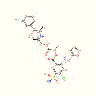 CC(OC(=O)c1cc(S(N)(=O)=O)c(Cl)cc1NCc1ccco1)C(=O)OC[C@@H](C)N[C@H](C)C(=O)c1cc(F)cc(F)c1